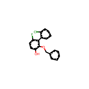 Oc1ccc(F)c(-c2ccccc2Cl)c1OCc1ccccc1